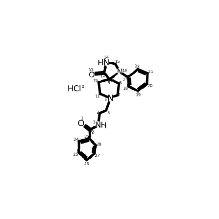 Cl.O=C(NCCN1CCC2(CC1)C(=O)NCN2c1ccccc1)c1ccccc1